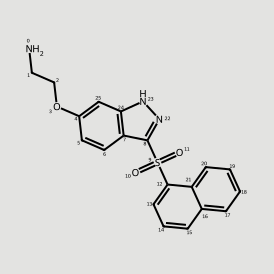 NCCOc1ccc2c(S(=O)(=O)c3cccc4ccccc34)n[nH]c2c1